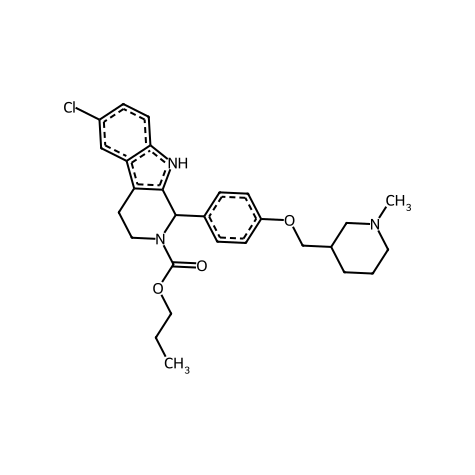 CCCOC(=O)N1CCc2c([nH]c3ccc(Cl)cc23)C1c1ccc(OCC2CCCN(C)C2)cc1